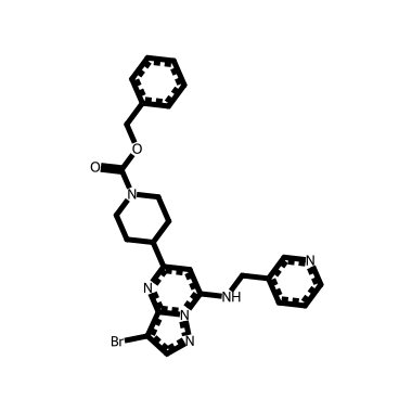 O=C(OCc1ccccc1)N1CCC(c2cc(NCc3cccnc3)n3ncc(Br)c3n2)CC1